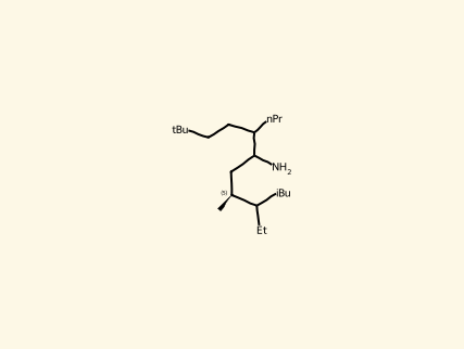 CCCC(CCC(C)(C)C)C(N)C[C@H](C)C(CC)C(C)CC